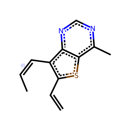 C=Cc1sc2c(C)ncnc2c1/C=C\C